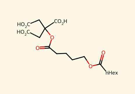 CCCCCCC(=O)OCCCCC(=O)OC(CC(=O)O)(CC(=O)O)C(=O)O